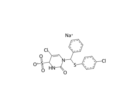 O=C1NC(S(=O)(=O)[O-])C(Cl)=CN1C(Sc1ccc(Cl)cc1)c1ccccc1.[Na+]